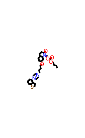 CCCCOC(=O)OCn1c(=O)ccc2ccc(OCCCCN3CCN(c4cccc5sccc45)CC3)cc21